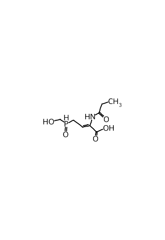 CCC(=O)N/C(=C\C[PH](=O)CO)C(=O)O